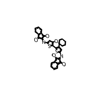 O=c1c(=Nc2cc3c(s2)-c2sc(N=c4c(=O)c5ccccc5c4=O)cc2C2(CCCCC2)O3)c(=O)c2ccccc12